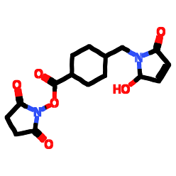 O=C(ON1C(=O)CCC1=O)C1CCC(CN2C(=O)C=CC2O)CC1